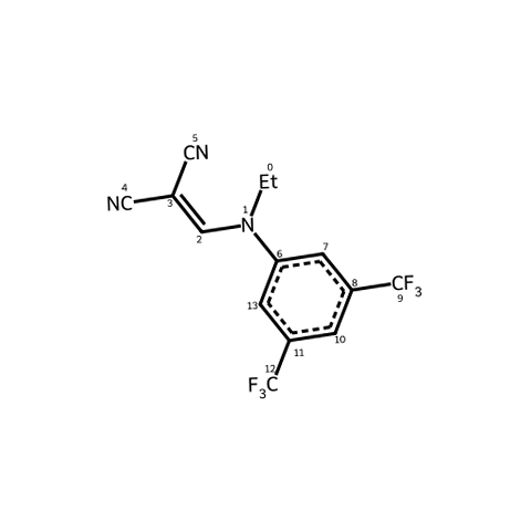 CCN(C=C(C#N)C#N)c1cc(C(F)(F)F)cc(C(F)(F)F)c1